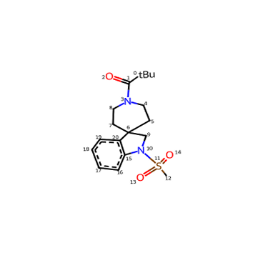 CC(C)(C)C(=O)N1CCC2(CC1)CN(S(C)(=O)=O)c1ccccc12